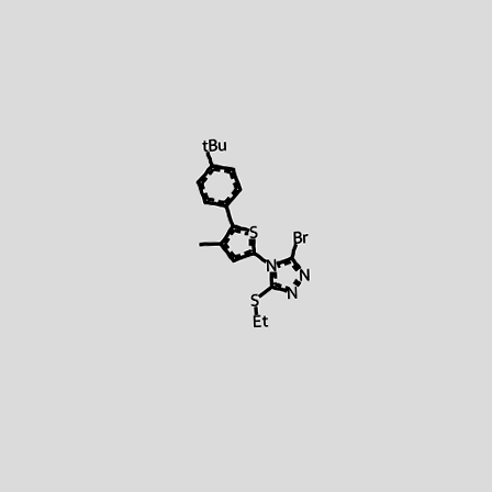 CCSc1nnc(Br)n1-c1cc(C)c(-c2ccc(C(C)(C)C)cc2)s1